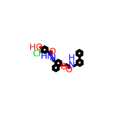 O=C(COc1ccc(/C=N/NC(=O)c2ccc(O)c(Cl)c2)c2ccccc12)NCc1cccc(-c2ccccc2)c1